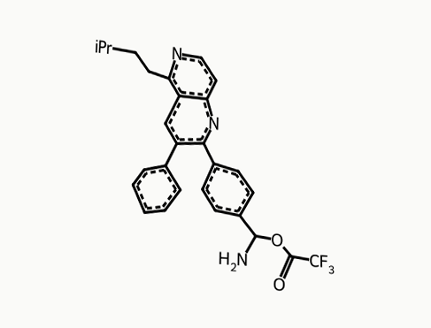 CC(C)CCc1nccc2nc(-c3ccc(C(N)OC(=O)C(F)(F)F)cc3)c(-c3ccccc3)cc12